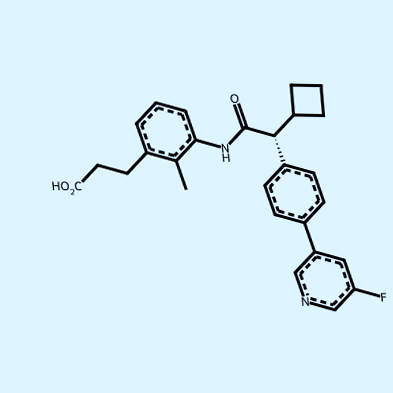 Cc1c(CCC(=O)O)cccc1NC(=O)[C@@H](c1ccc(-c2cncc(F)c2)cc1)C1CCC1